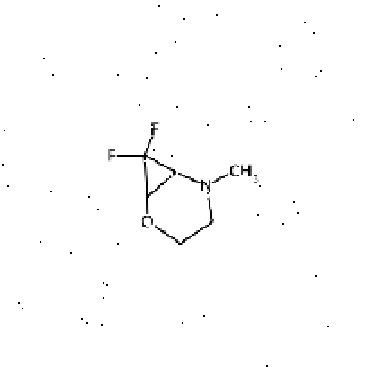 CN1CCOC2C1C2(F)F